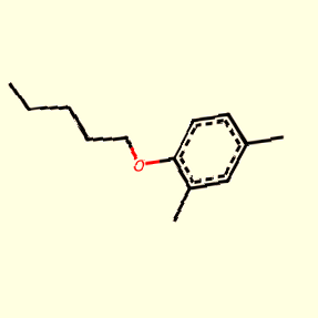 CCCCCOc1ccc(C)cc1C